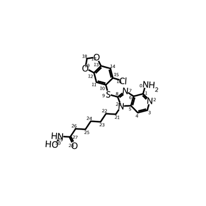 Nc1nccc2c1nc(Sc1cc3c(cc1Cl)OCO3)n2CCCCCCC(=O)NO